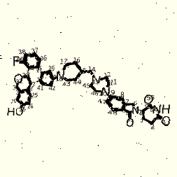 O=C1CC[C@H](N2Cc3cc(N4CCN(CC5CCN(c6ccc([C@@H]7c8ccc(O)cc8CO[C@@H]7c7ccccc7F)cc6)CC5)CC4)ccc3C2=O)C(=O)N1